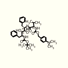 CC(C)[C@H](NC(=O)OCc1ccc(N(C)C)cc1)C(=O)N[C@H](Cc1ccccc1)[C@@H](O)[C@@H](O)C(Cc1ccccc1)NC(=O)OC(C)(C)C